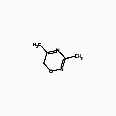 CC1=NC(C)=NOC1